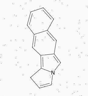 C1=Cn2cc3cc4ccccc4cc3c2C1